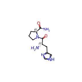 NC(=O)[C@@H]1CCCN1C(=O)[C@@H](N)Cc1c[nH]cn1